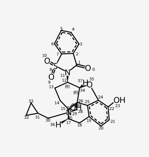 O=C1c2ccccc2S(=O)(=O)N1[C@@H]1CC[C@@]2(O)[C@H]3Cc4ccc(O)c5c4[C@@]2(CCN3CC2CC2)[C@H]1O5